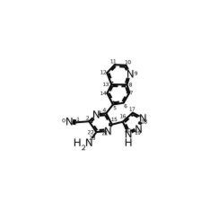 N#Cc1nc(-c2ccc3ncccc3c2)c(-c2cnn[nH]2)nc1N